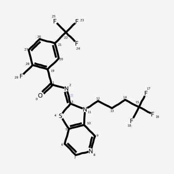 O=C(/N=c1\sc2ccncc2n1CCCC(F)(F)F)c1cc(C(F)(F)F)ccc1F